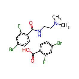 CN(C)CCNC(=O)c1ccc(Br)cc1F.O=C(O)c1ccc(Br)cc1F